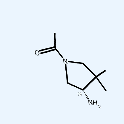 CC(=O)N1C[C@@H](N)C(C)(C)C1